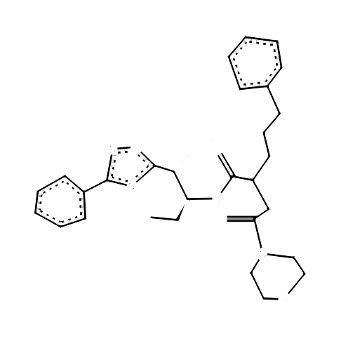 CC[C@H](NC(=O)C(CCCc1ccccc1)CC(=O)N1CCOCC1)[C@@H](O)c1nc(-c2ccccc2)no1